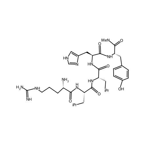 CNC(=O)[C@H](Cc1ccc(O)cc1)NC(=O)[C@H](Cc1c[nH]cn1)NC(=O)[C@H](CC(C)C)NC(=O)[C@H](CC(C)C)NC(=O)[C@@H](N)CCCNC(=N)N